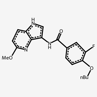 CCCCOc1ccc(C(=O)Nc2c[nH]c3ccc(OC)nc23)cc1F